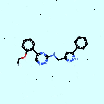 CCOc1ccccc1-c1cnnc(NCc2cc(-c3ccccc3)[nH]n2)n1